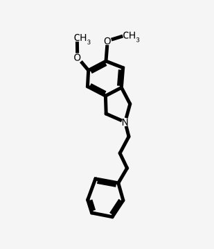 COc1cc2c(cc1OC)CN(CCCc1ccccc1)C2